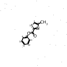 Cc1csc(C(=O)Oc2ccccc2)n1